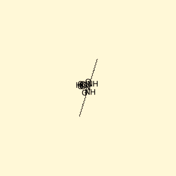 CCCCCCCCC=CCCCCCCCC(=O)NCCN(CCO)CCNC(=O)CCCCCCCC=CCCCCCCCC.COS(=O)(=O)O